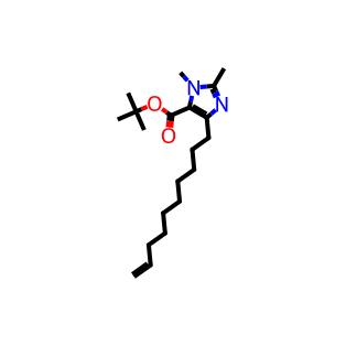 C=CCCCCCCCCc1nc(C)n(C)c1C(=O)OC(C)(C)C